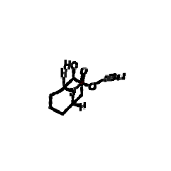 CC(C)(C)OC(=O)N1[C@H]2CCC[C@@H]1[C@@H](O)CC2